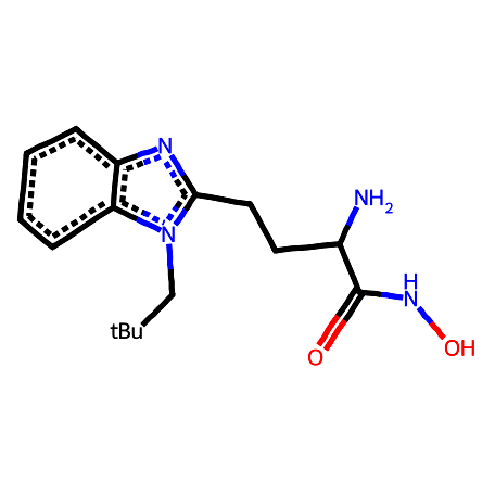 CC(C)(C)Cn1c(CCC(N)C(=O)NO)nc2ccccc21